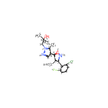 CCOC(=O)c1c(-c2c(F)cccc2Cl)noc1-c1cnn(CC(C)(C)O)c1C(F)(F)F